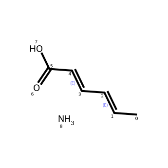 C/C=C/C=C/C(=O)O.N